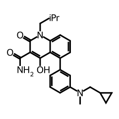 CC(C)Cn1c(=O)c(C(N)=O)c(O)c2c(-c3cccc(N(C)CC4CC4)c3)cccc21